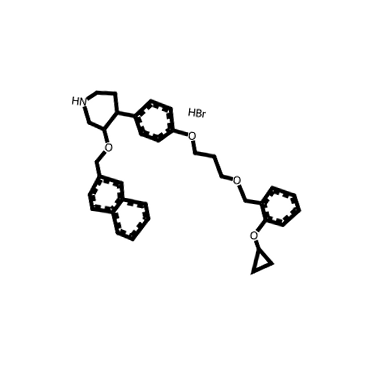 Br.c1ccc(OC2CC2)c(COCCCOc2ccc(C3CCNCC3OCc3ccc4ccccc4c3)cc2)c1